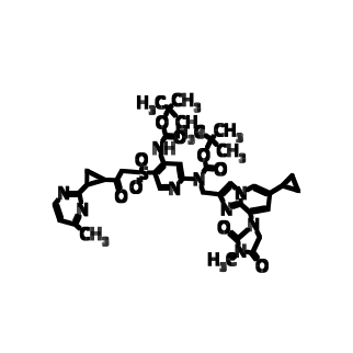 Cc1ccnc(C2CC2C(=O)CS(=O)(=O)c2cnc(N(Cc3cn4cc(C5CC5)cc(N5CC(=O)N(C)C5=O)c4n3)C(=O)OC(C)(C)C)cc2NC(=O)OC(C)(C)C)n1